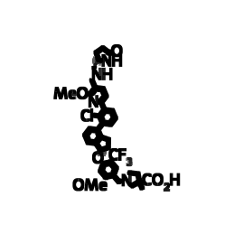 COc1cc(O[C@H]2CCc3c(-c4cccc(-c5ccc(CNC[C@@H]6CCC(=O)N6)c(OC)n5)c4Cl)cccc32)c(C(F)(F)F)cc1CN1CC[C@@](C)(C(=O)O)C1